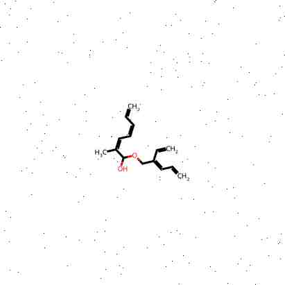 C=C/C=C\C=C(C)C(O)OC/C(C=C)=C/C=C